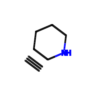 C#C.C1CCNCC1